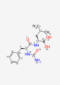 CC(C)C[C@H](NC(=O)[C@H](Cc1ccccc1)NC(N)=O)B(O)O